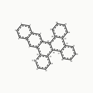 c1ccc2cc3c(cc2c1)c1ncccc1c1c2ccccc2c2ccccc2c31